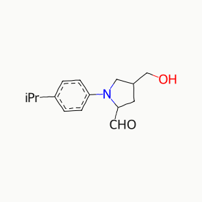 CC(C)c1ccc(N2CC(CO)CC2C=O)cc1